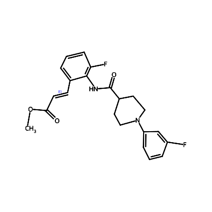 COC(=O)/C=C/c1cccc(F)c1NC(=O)C1CCN(c2cccc(F)c2)CC1